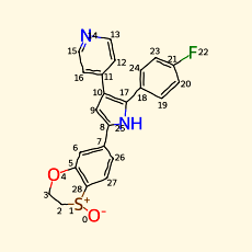 [O-][S+]1CCOc2cc(-c3cc(-c4ccncc4)c(-c4ccc(F)cc4)[nH]3)ccc21